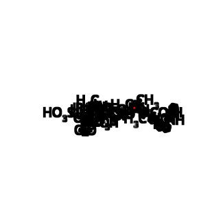 Cc1c(-c2ccc(N3CCc4cccc(C(=O)Nc5nc6ccccc6s5)c4C3)nc2C(=O)O)cnn1CC12CC3(C)CC(C)(C1)CC(OCCN(CCS(=O)(=O)O)C(=O)OCc1ccc(NC[C@H](C)NC[C@@H](NC(=O)CN4C(=O)[C@@H](N5C(=O)C=CC5=O)C[C@H]4COCCS(=O)(=O)O)C(C)C)cc1CC[C@@H]1O[C@H](C(=O)O)[C@@H](O)[C@H](O)[C@H]1O)(C3)C2